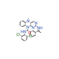 C[C@H](Nc1nccc(N(C(=O)Nc2c(Cl)cccc2Cl)c2ccccc2N(C)C)n1)c1ccccc1